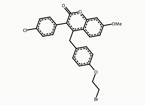 COc1ccc2c(Cc3ccc(OCCBr)cc3)c(-c3ccc(Cl)cc3)c(=O)oc2c1